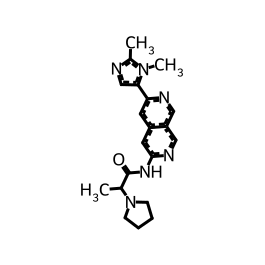 Cc1ncc(-c2cc3cc(NC(=O)C(C)N4CCCC4)ncc3cn2)n1C